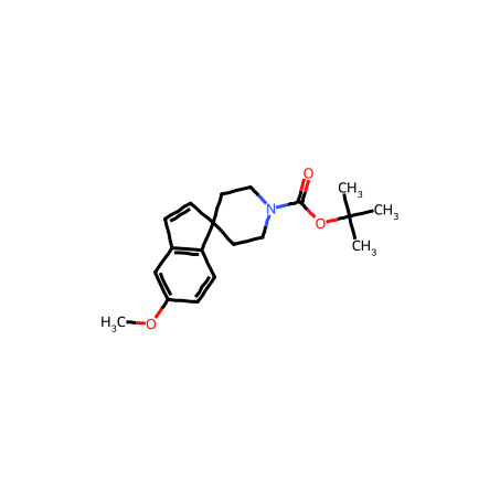 COc1ccc2c(c1)C=CC21CCN(C(=O)OC(C)(C)C)CC1